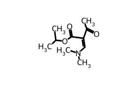 CC(=O)C(=CN(C)C)C(=O)OC(C)C